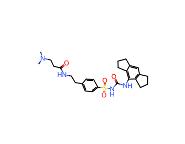 CN(C)CCC(=O)NCCc1ccc(S(=O)(=O)NC(=O)Nc2c3c(cc4c2CCC4)CCC3)cc1